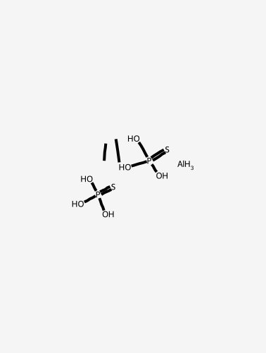 CC.CC.OP(O)(O)=S.OP(O)(O)=S.[AlH3]